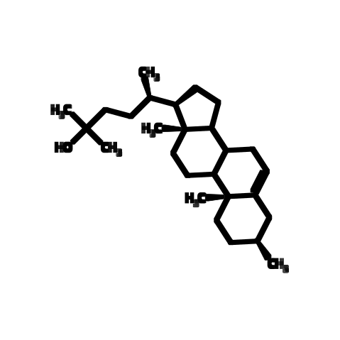 C[C@H]1CC[C@@]2(C)C(=CCC3C2CC[C@@]2(C)C3CC[C@@H]2[C@H](C)CCC(C)(C)O)C1